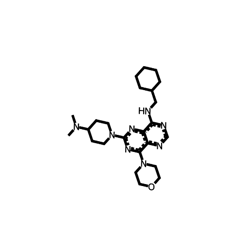 CN(C)C1CCN(c2nc(N3CCOCC3)c3ncnc(NCC4CCCCC4)c3n2)CC1